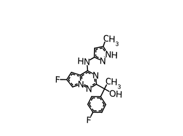 Cc1cc(Nc2nc(C(C)(O)c3ccc(F)cc3)nn3cc(F)cc23)n[nH]1